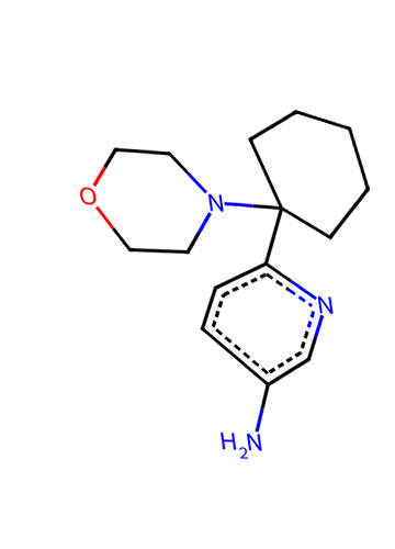 Nc1ccc(C2(N3CCOCC3)CCCCC2)nc1